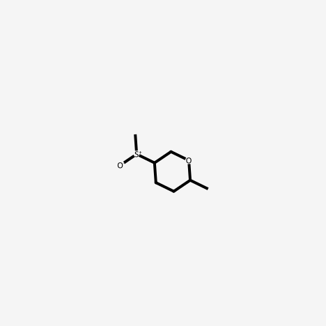 CC1CCC([S+](C)[O-])CO1